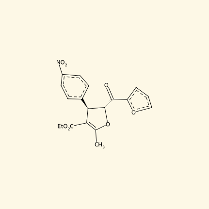 CCOC(=O)C1=C(C)O[C@@H](C(=O)c2ccco2)[C@@H]1c1ccc([N+](=O)[O-])cc1